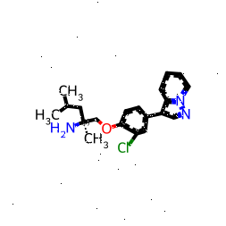 CC(C)C[C@](C)(N)COc1ccc(-c2cnn3ccccc23)cc1Cl